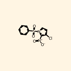 O=[N+]([O-])c1c(Cl)ccn1S(=O)(=O)c1ccccc1